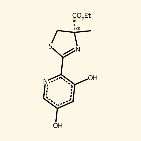 CCOC(=O)[C@@]1(C)CSC(c2ncc(O)cc2O)=N1